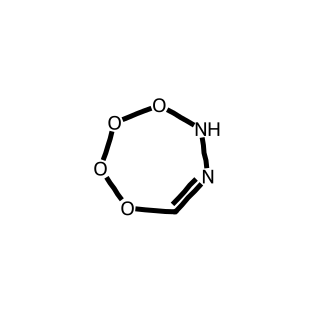 C1=NNOOOO1